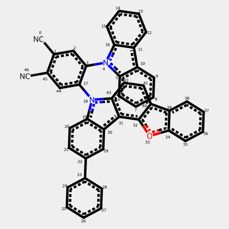 N#Cc1cc(-n2c3ccccc3c3ccccc32)c(-n2c3ccc(-c4ccccc4)cc3c3c4oc5ccccc5c4ccc32)cc1C#N